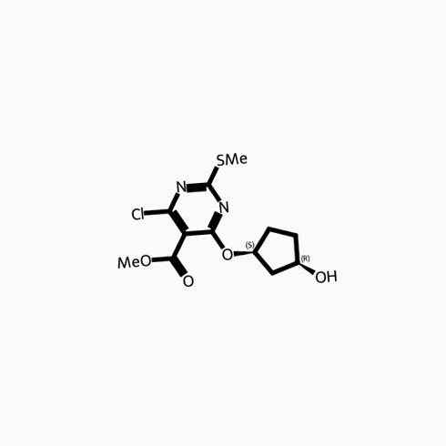 COC(=O)c1c(Cl)nc(SC)nc1O[C@H]1CC[C@@H](O)C1